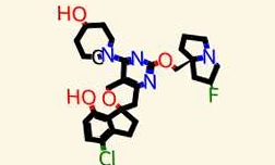 Oc1ccc(Cl)c2c1C1(CC2)Cc2nc(OC[C@@]34CCCN3C[C@H](F)C4)nc(N3CCCC(O)CC3)c2CO1